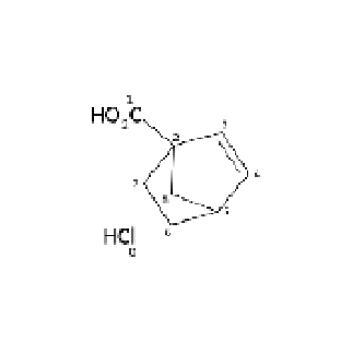 Cl.O=C(O)C12C=CC(CC1)C2